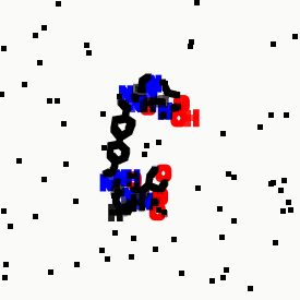 COC(=O)N[C@H](C(=O)N1[C@@H]2C[C@H]2C[C@H]1c1ncc(-c2ccc(-c3ccc(-c4cnc([C@@H]5CCN(C)N5C(=O)[C@H](C(C)C)N(C)C(=O)O)[nH]4)cc3)cc2)[nH]1)C1CCOCC1